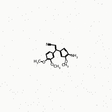 COc1cc(C(=CC#N)c2ccc(OC)c(OC)c2)ccc1N